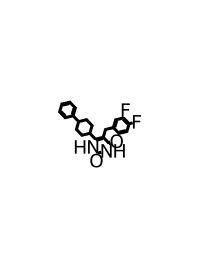 O=c1[nH]c(C2CCC(c3ccccc3)CC2)c(Cc2ccc(F)c(F)c2)c(=O)[nH]1